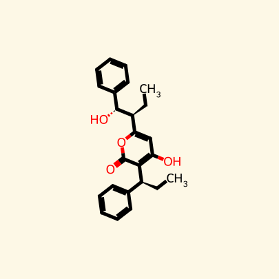 CC[C@@H](c1ccccc1)c1c(O)cc([C@H](CC)[C@H](O)c2ccccc2)oc1=O